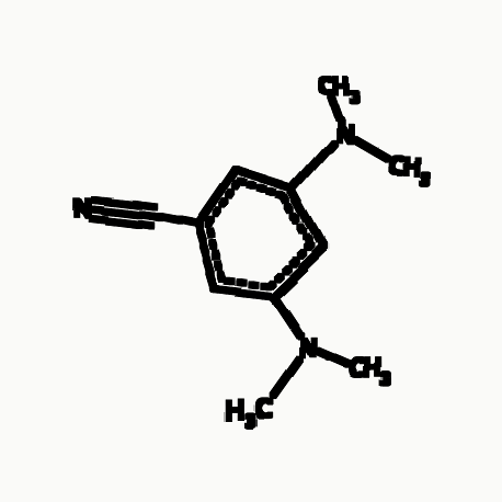 CN(C)c1cc(C#N)cc(N(C)C)c1